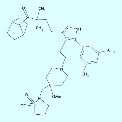 COC1(CN2CCCS2(=O)=O)CCN(CCc2c(CCC(C)(C)C(=O)N3C4CCC3CC4)c[nH]c2-c2cc(C)cc(C)c2)CC1